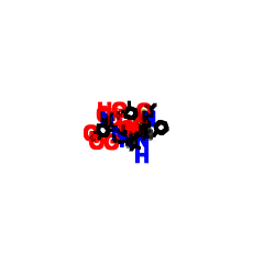 Cc1cc(S(=O)(=O)N(CC(C)C)C[C@@H](O)[C@H](Cc2ccccc2)NC(=O)[C@H](C(C)C)N2CC(=O)N(Cc3cc4c(cc3[N+](=O)[O-])OCO4)C2=O)ccc1O